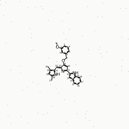 COc1cccc(COC2=CC(c3cc4ccccc4[nH]3)=NC2=Cc2[nH]c(C)cc2C)c1